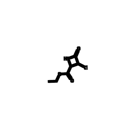 CCOC(=O)C1NC(=O)C1Cl